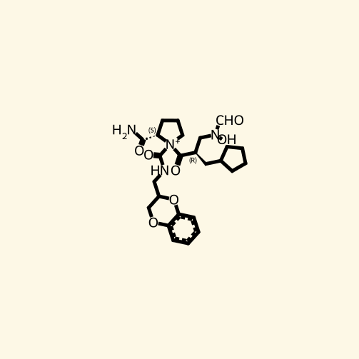 NC(=O)[C@@H]1CCC[N+]1(C(=O)NCC1COc2ccccc2O1)C(=O)[C@H](CC1CCCC1)CN(O)C=O